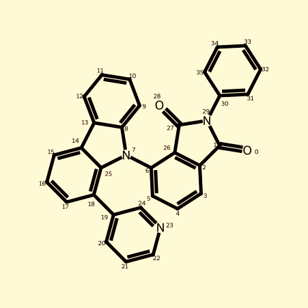 O=C1c2cccc(-n3c4ccccc4c4cccc(-c5cccnc5)c43)c2C(=O)N1c1ccccc1